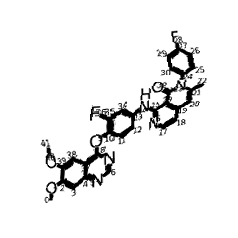 COc1cc2ncnc(Oc3ccc(Nc4nccc5cc(C)n(-c6ccc(F)cc6)c(=O)c45)cc3F)c2cc1OC